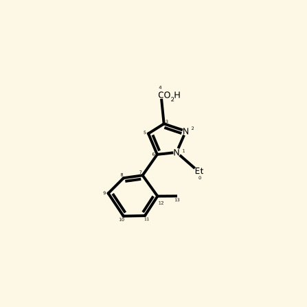 CCn1nc(C(=O)O)cc1-c1ccccc1C